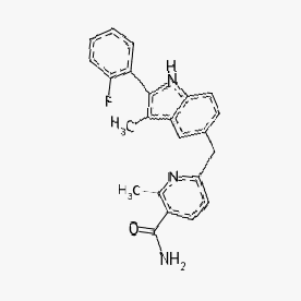 Cc1nc(Cc2ccc3[nH]c(-c4ccccc4F)c(C)c3c2)ccc1C(N)=O